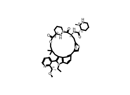 CCn1c(-c2cccnc2[C@H](C)OC)c2c3cc(ccc31)-c1csc(n1)C[C@H](NC(=O)[C@H]1CCCN[C@@H]1C)C(=O)N1CCC[C@H](N1)C(=O)OCC(C)(C)C2